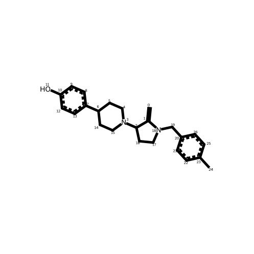 C=C1C(N2CCC(c3ccc(O)cc3)CC2)CCN1Cc1ccc(C)cc1